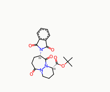 CC(C)(C)OC(=O)[C@@H]1CCCN2C(=O)CC[C@H](N3C(=O)c4ccccc4C3=O)C(=O)N12